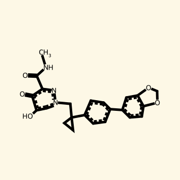 CNC(=O)c1nn(CC2(c3ccc(-c4ccc5c(c4)OCO5)cc3)CC2)cc(O)c1=O